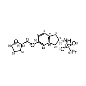 CC(C)S(=O)(=O)N[C@H]1Cc2ccc(OC[C@H]3CCCO3)cc2C1